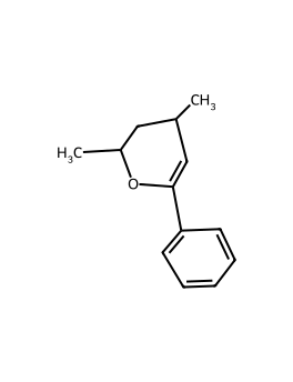 CC1C=C(c2ccccc2)OC(C)C1